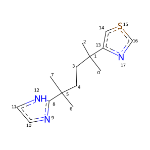 CC(C)(CCC(C)(C)c1ncc[nH]1)c1cscn1